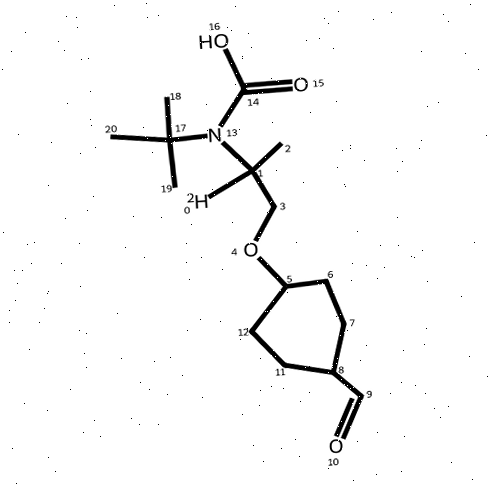 [2H]C(C)(COC1CCC(C=O)CC1)N(C(=O)O)C(C)(C)C